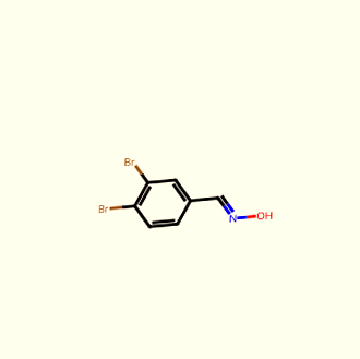 ON=Cc1ccc(Br)c(Br)c1